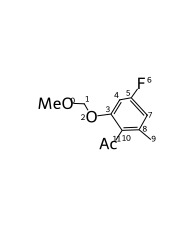 COCOc1cc(F)cc(C)c1C(C)=O